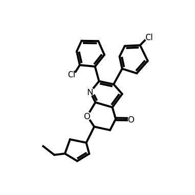 CCC1C=CC(C2CC(=O)c3cc(-c4ccc(Cl)cc4)c(-c4ccccc4Cl)nc3O2)C1